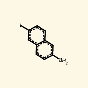 Bc1ccc2cc(I)ccc2c1